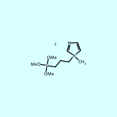 CO[Si](CCC[N+]1(C)C=CN=C1)(OC)OC.[I-]